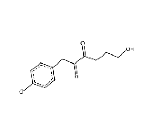 O=C(CCCO)C(=O)Cc1ccc(Cl)cc1